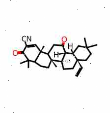 C=C[C@]12CCC(C)(C)C[C@H]1[C@H]1C(=O)CC3[C@@]4(C)C=C(C#N)C(=O)C(C)(C)C4CC[C@@]3(C)[C@]1(C)CC2